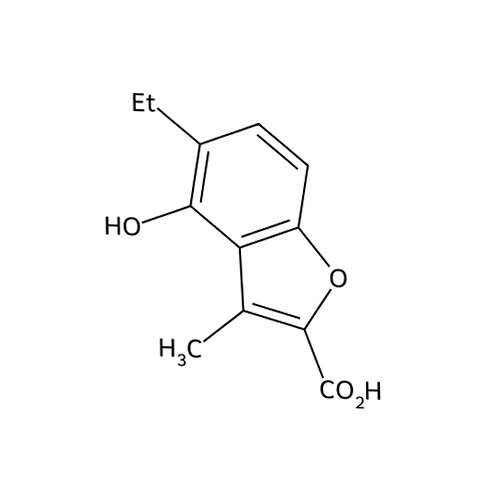 CCc1ccc2oc(C(=O)O)c(C)c2c1O